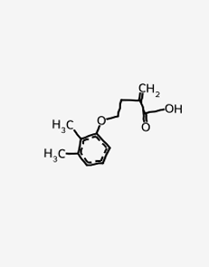 C=C(CCOc1cccc(C)c1C)C(=O)O